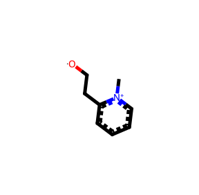 C[n+]1ccccc1CC[O]